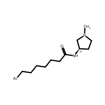 CC(=O)CCCCCCC(=O)N[C@@H]1CCN(C)C1